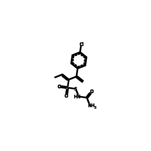 C=C(C(=CC)S(=O)(=O)SNC(N)=O)c1ccc(Cl)cc1